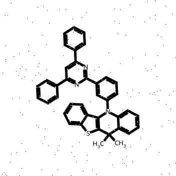 CC1(C)c2ccccc2N(c2cccc(-c3nc(-c4ccccc4)cc(-c4ccccc4)n3)c2)c2c1sc1ccccc21